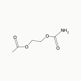 CC(=O)OCCOC(N)=O